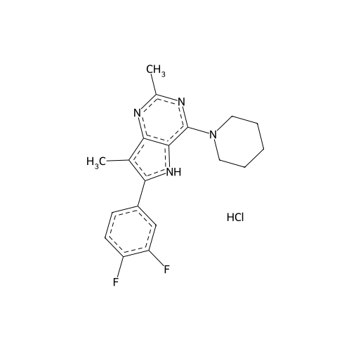 Cc1nc(N2CCCCC2)c2[nH]c(-c3ccc(F)c(F)c3)c(C)c2n1.Cl